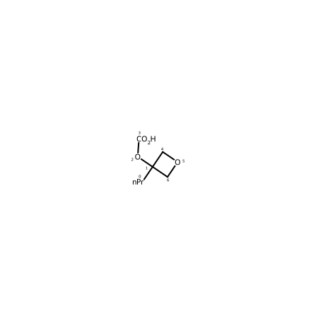 CCCC1(OC(=O)O)COC1